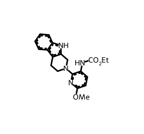 CCOC(=O)Nc1ccc(OC)nc1N1CCc2c([nH]c3ccccc23)C1